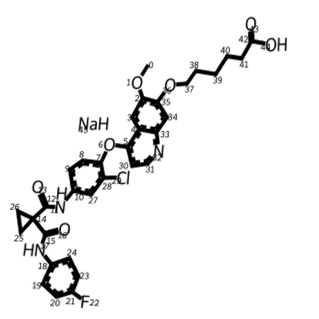 COc1cc2c(Oc3ccc(NC(=O)C4(C(=O)Nc5ccc(F)cc5)CC4)cc3Cl)ccnc2cc1OCCCCCC(=O)O.[NaH]